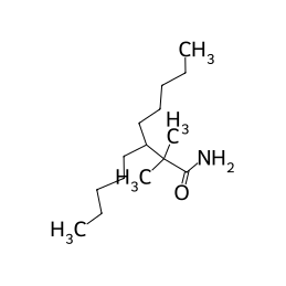 CCCCCC(CCCCC)C(C)(C)C(N)=O